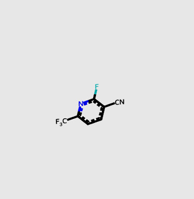 N#Cc1ccc(C(F)(F)F)nc1F